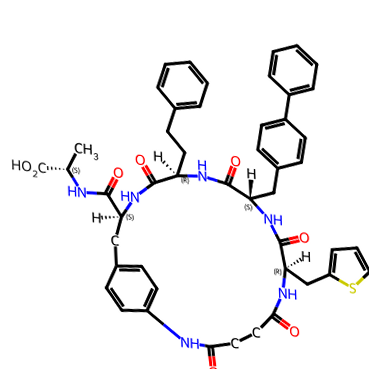 C[C@H](NC(=O)[C@@H]1Cc2ccc(cc2)NC(=O)CCC(=O)N[C@H](Cc2cccs2)C(=O)N[C@@H](Cc2ccc(-c3ccccc3)cc2)C(=O)N[C@H](CCc2ccccc2)C(=O)N1)C(=O)O